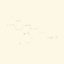 CNCCCCc1nc2cc(Br)c(Cl)cc2c(=O)n1CC(C)(C)C.Cl.Cl